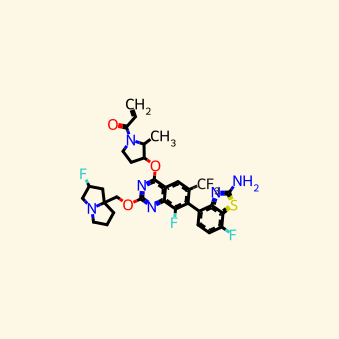 C=CC(=O)N1CCC(Oc2nc(OCC34CCCN3CC(F)C4)nc3c(F)c(-c4ccc(F)c5sc(N)nc45)c(C(F)(F)F)cc23)C1C